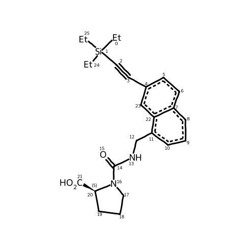 CC[Si](C#Cc1ccc2cccc(CNC(=O)N3CCC[C@H]3C(=O)O)c2c1)(CC)CC